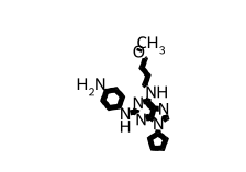 COCCCCNc1nc(N[C@H]2CC[C@H](N)CC2)nc2c1ncn2C1CCCC1